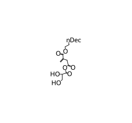 C=C(CC(=O)OC(=O)C(O)CO)C(=O)OCCCCCCCCCCCC